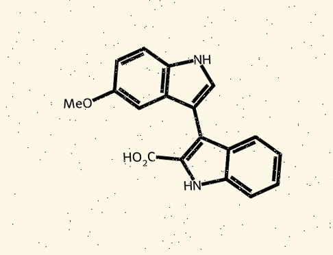 COc1ccc2[nH]cc(-c3c(C(=O)O)[nH]c4ccccc34)c2c1